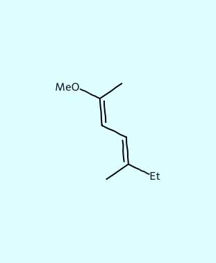 CC/C(C)=C/C=C(\C)OC